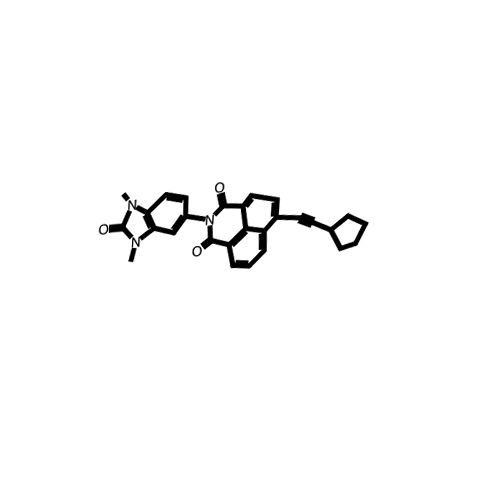 Cn1c(=O)n(C)c2cc(N3C(=O)c4cccc5c(C#CC6CCCC6)ccc(c45)C3=O)ccc21